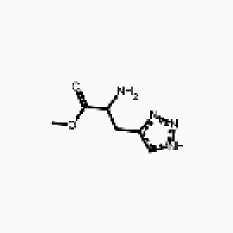 NC(Cc1c[nH]nn1)C(=O)OI